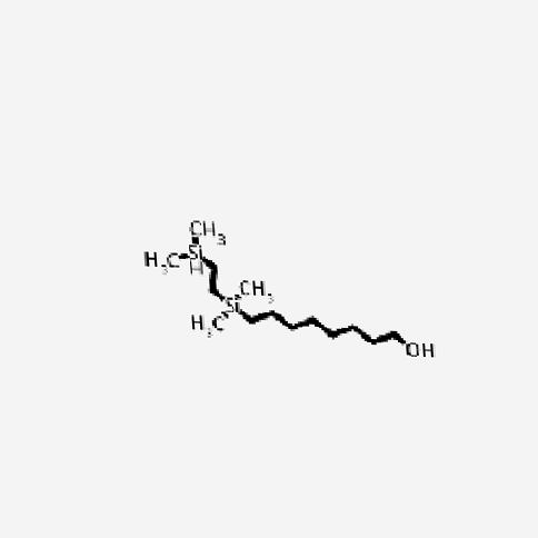 C[SiH](C)CC[Si](C)(C)CCCCCCCCO